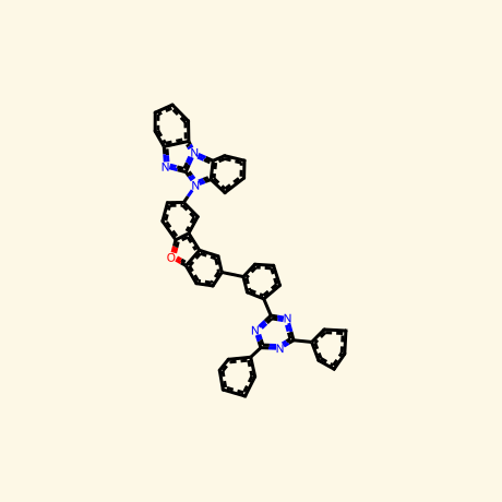 c1ccc(-c2nc(-c3ccccc3)nc(-c3cccc(-c4ccc5oc6ccc(-n7c8ccccc8n8c9ccccc9nc78)cc6c5c4)c3)n2)cc1